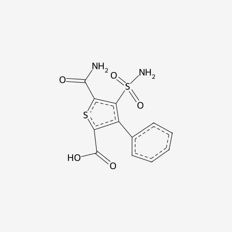 NC(=O)c1sc(C(=O)O)c(-c2ccccc2)c1S(N)(=O)=O